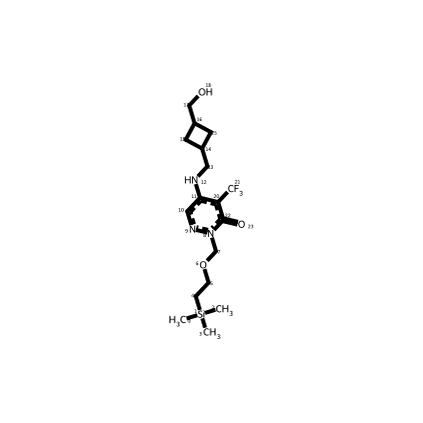 C[Si](C)(C)CCOCn1ncc(NCC2CC(CO)C2)c(C(F)(F)F)c1=O